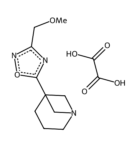 COCc1noc(C23CCCN(C2)C3)n1.O=C(O)C(=O)O